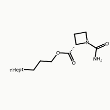 CCCCCCCCCCOC(=O)[C@@H]1CCN1C(N)=O